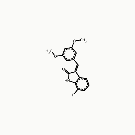 COc1cc(C=C2C(=O)Nc3c(F)cccc32)cc(OC)c1